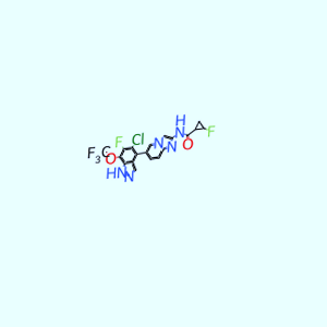 O=C(Nc1cn2cc(-c3c(Cl)c(F)c(OC(F)(F)F)c4[nH]ncc34)ccc2n1)C1CC1F